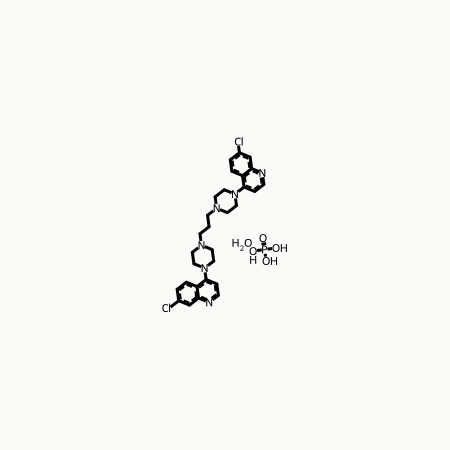 Clc1ccc2c(N3CCN(CCCN4CCN(c5ccnc6cc(Cl)ccc56)CC4)CC3)ccnc2c1.O.O=P(O)(O)O